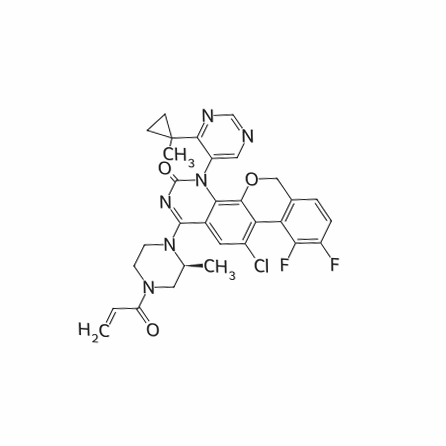 C=CC(=O)N1CCN(c2nc(=O)n(-c3cncnc3C3(C)CC3)c3c4c(c(Cl)cc23)-c2c(ccc(F)c2F)CO4)[C@@H](C)C1